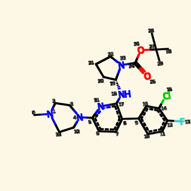 CN1CCN(c2ccc(-c3ccc(F)c(Cl)c3)c(N[C@@H]3CCCN3C(=O)OC(C)(C)C)n2)CC1